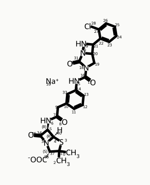 CC1(C)S[C@@H]2[C@H](NC(=O)Cc3cccc(NC(=O)N4CC5C(c6ccccc6Cl)NN5C4=O)c3)C(=O)N2[C@H]1C(=O)[O-].[Na+]